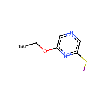 CC(C)(C)COc1cncc(SI)n1